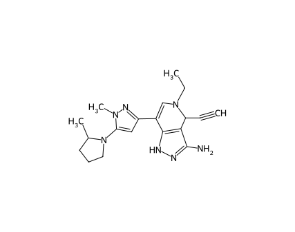 C#CC1c2c(N)n[nH]c2C(c2cc(N3CCCC3C)n(C)n2)=CN1CC